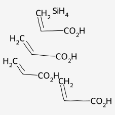 C=CC(=O)O.C=CC(=O)O.C=CC(=O)O.C=CC(=O)O.[SiH4]